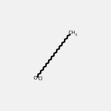 CCCCCCCCCCCCCCCCCCCCCCCCCC(=O)Cl